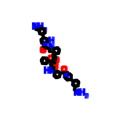 NCc1cccc(C2CCN(C(=O)c3cccc(NC(=O)C[C@@]4(c5ccccc5)OB(c5cccc6[nH]c(C(=O)N7CCC(c8cccc(CN)c8)CC7)cc56)OC4=O)c3)CC2)c1